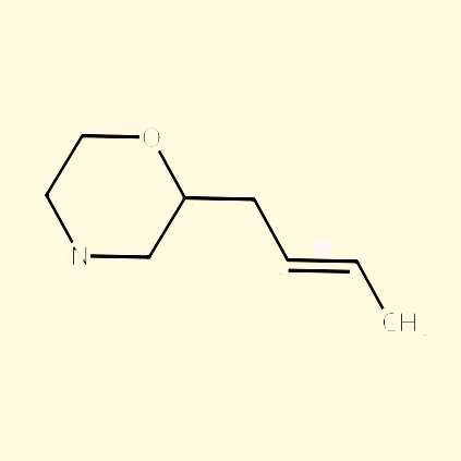 C/C=C/CC1C[N]CCO1